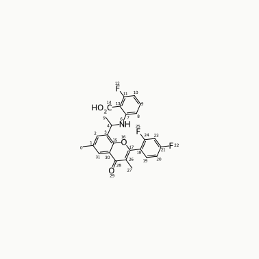 Cc1cc(C(C)Nc2cccc(F)c2C(=O)O)c2oc(-c3ccc(F)cc3F)c(C)c(=O)c2c1